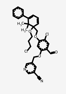 CC1(C)C(c2ccccc2)=CC=CC1(COc1cc(OCc2cncc(C#N)c2)c(C=O)cc1Cl)OCCCCl